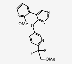 COCC(F)(F)c1ccc(Oc2ncncc2-c2cccnc2OC)cn1